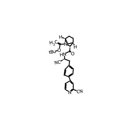 C=C(OC(C)(C)C)N1[C@@H]2CC[C@@H](C2)[C@H]1C(=O)N[C@H](C#N)Cc1ccc(-c2ccnc(C#N)c2)cc1